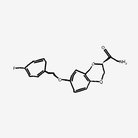 NC(=O)[C@H]1COc2ccc(OCc3ccc(F)cc3)cc2O1